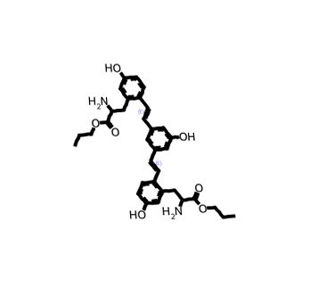 CCCOC(=O)C(N)Cc1cc(O)ccc1/C=C/c1cc(O)cc(/C=C/c2ccc(O)cc2CC(N)C(=O)OCCC)c1